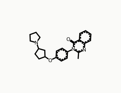 Cc1nc2ccccc2c(=O)n1-c1ccc(OC2CCC(N3CCCC3)C2)cc1